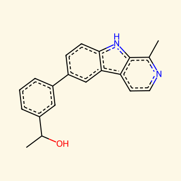 Cc1nccc2c1[nH]c1ccc(-c3cccc(C(C)O)c3)cc12